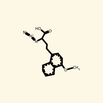 COc1ccc(CCC(N=[N+]=[N-])C(=O)O)c2ccccc12